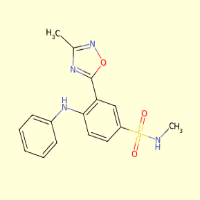 CNS(=O)(=O)c1ccc(Nc2ccccc2)c(-c2nc(C)no2)c1